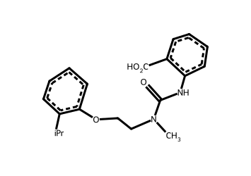 CC(C)c1ccccc1OCCN(C)C(=O)Nc1ccccc1C(=O)O